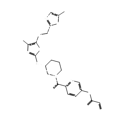 C=CC(=O)Nc1ccc(C(=O)N2CCC[C@@H](Nc3nc(C)c(SCc4ncc(C(C)(C)C)o4)s3)C2)nc1